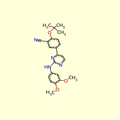 COc1ccc(Nc2nccc(-c3ccc(OC(C)(C)C)c(C#N)c3)n2)cc1OC